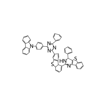 C1=CC2Sc3cc(-c4nc(-c5ccccc5)nc(-c5ccc(-n6c7ccccc7c7ccccc76)cc5)n4)ccc3C2C(C2=Nc3c(sc4ccccc34)C(c3ccccc3)N2)=C1